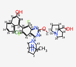 C[C@]12CCC(CN(c3nc(OC[C@@H]4CC[C@]5(CO)CCCN45)nc4c(F)c(-c5cc(O)cc6cccc(Cl)c56)c(F)cc34)C1)N2